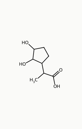 CC(C(=O)O)C1CCC(O)C1O